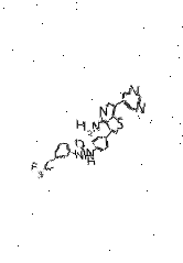 Nc1ncc(-c2cncnc2)c2scc(-c3ccc(NC(=O)Nc4cccc(C(F)(F)F)c4)cc3)c12